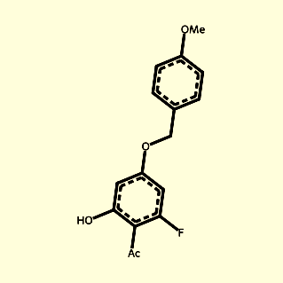 COc1ccc(COc2cc(O)c(C(C)=O)c(F)c2)cc1